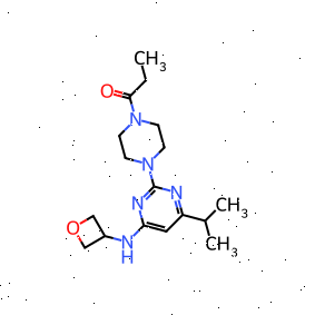 CCC(=O)N1CCN(c2nc(NC3COC3)cc(C(C)C)n2)CC1